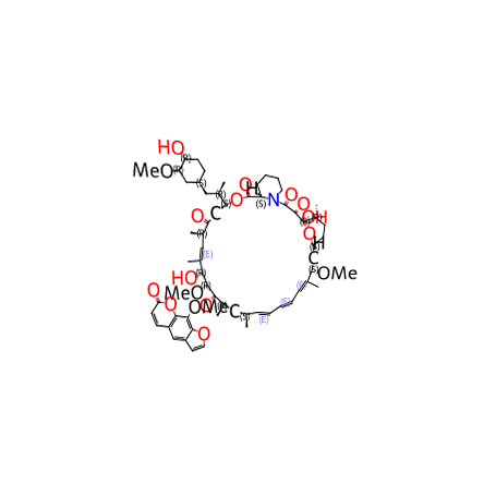 CO[C@H]1C[C@@H]2CC[C@@H](C)[C@@](O)(O2)C(=O)C(=O)N2CCCC[C@H]2C(=O)O[C@H]([C@H](C)C[C@@H]2CC[C@@H](O)[C@H](OC)C2)CC(=O)[C@H](C)/C=C(\C)[C@@H](O)[C@@H](OC)C(=O)[C@H](C)C[C@H](C)/C=C/C=C/C=C/1C.COc1c2occc2cc2ccc(=O)oc12